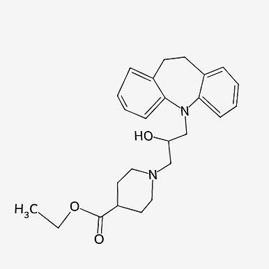 CCOC(=O)C1CCN(CC(O)CN2c3ccccc3CCc3ccccc32)CC1